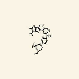 CCN1CCN(c2ccc(Nc3ncc(F)c(-c4sc5c(nc(C)n5C(C)C)c4C)n3)nc2)CC(F)(F)C1